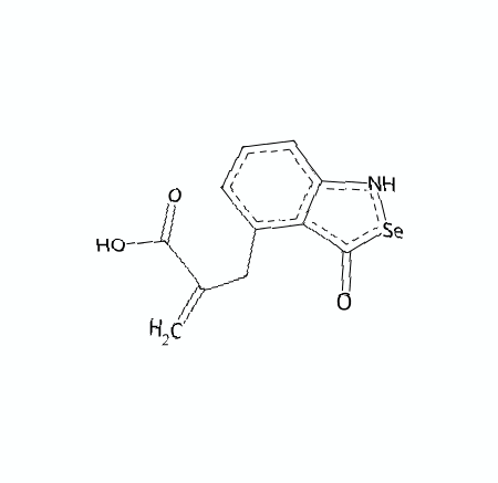 C=C(Cc1cccc2[nH][se]c(=O)c12)C(=O)O